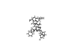 CCc1c(F)ccc2cc(O)cc(-c3ncc4c(N5CCC6(CCCCC6)C5)nc(OC[C@@]56CCCN5C[C@H](C)C6)nc4c3F)c12